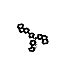 c1ccc2c(c1)ccc1cc(-c3ccc(N(c4ccc5c(c4)sc4ccccc45)c4ccc5ccc6ccccc6c5c4)cc3)ccc12